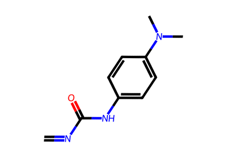 C=NC(=O)Nc1ccc(N(C)C)cc1